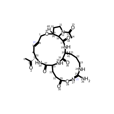 CC(=O)[C@@H]1C/C=C/CO[C@@H]2CCN(C(C)=O)C2C(=O)N[C@H]2CCCN/C(N)=N\OC(=O)CCC(NC2=O)C(=O)N1